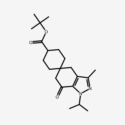 Cc1nn(C(C)C)c2c1CC1(CCC(C(=O)OC(C)(C)C)CC1)CC2=O